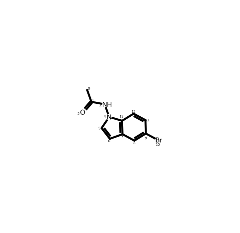 CC(=O)Nn1ccc2cc(Br)ccc21